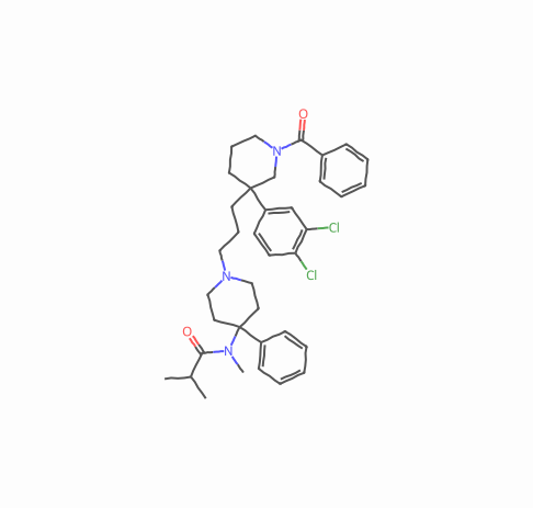 CC(C)C(=O)N(C)C1(c2ccccc2)CCN(CCCC2(c3ccc(Cl)c(Cl)c3)CCCN(C(=O)c3ccccc3)C2)CC1